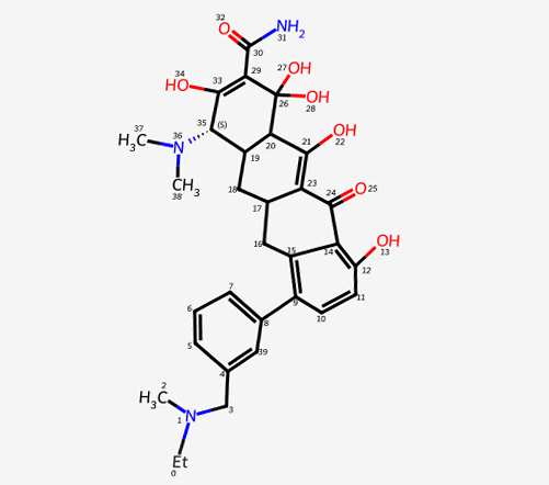 CCN(C)Cc1cccc(-c2ccc(O)c3c2CC2CC4C(C(O)=C2C3=O)C(O)(O)C(C(N)=O)=C(O)[C@H]4N(C)C)c1